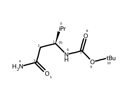 CC(C)[C@H](CC(N)=O)NC(=O)OC(C)(C)C